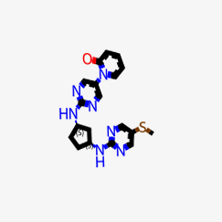 CSc1cnc(N[C@H]2CC[C@H](Nc3ncc(-n4ccccc4=O)cn3)C2)nc1